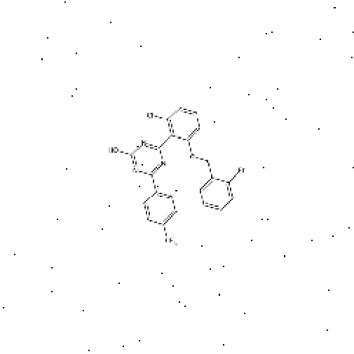 CCc1ccccc1COc1cccc(Cl)c1-c1nc(O)nc(-c2ccc(C(F)(F)F)cc2)n1